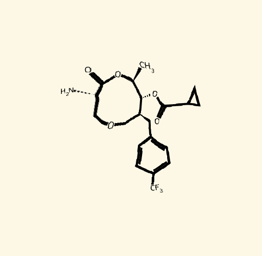 C[C@@H]1OC(=O)[C@@H](N)COC[C@H](Cc2ccc(C(F)(F)F)cc2)[C@H]1OC(=O)C1CC1